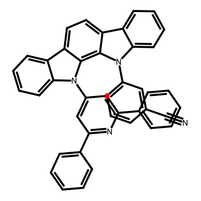 N#Cc1cccc(-n2c3ccccc3c3ccc4c5ccccc5n(-c5cc(-c6ccccc6)nc(-c6ccccc6)c5)c4c32)c1